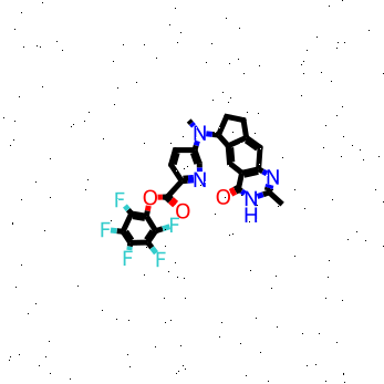 Cc1nc2cc3c(cc2c(=O)[nH]1)C(N(C)c1ccc(C(=O)Oc2c(F)c(F)c(F)c(F)c2F)nc1)CC3